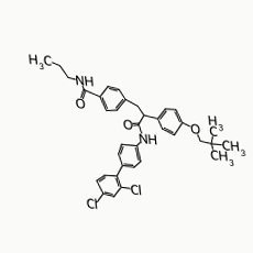 CCCNC(=O)c1ccc(CC(C(=O)Nc2ccc(-c3ccc(Cl)cc3Cl)cc2)c2ccc(OCC(C)(C)C)cc2)cc1